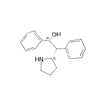 O[C@@H](c1ccccc1)C(c1ccccc1)[C@@H]1CCCN1